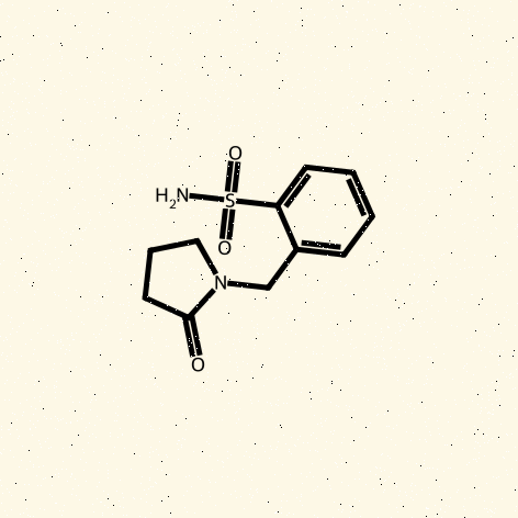 NS(=O)(=O)c1ccccc1CN1CCCC1=O